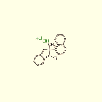 CC1(c2cccc3ccccc23)C=c2ccccc2=[C]1[Ti].Cl.Cl